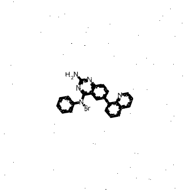 Nc1nc(N(Br)c2ccccc2)c2cc(-c3cccc4cccnc34)ccc2n1